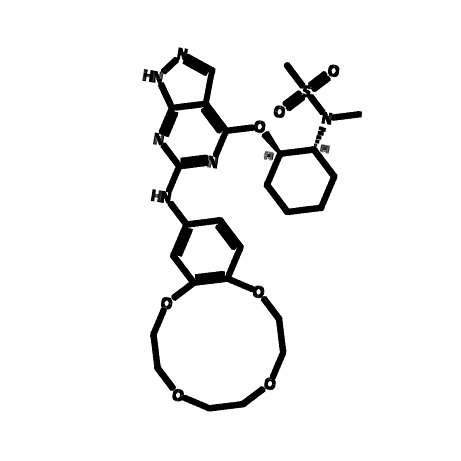 CN([C@@H]1CCCC[C@H]1Oc1nc(Nc2ccc3c(c2)OCCOCCOCCO3)nc2[nH]ncc12)S(C)(=O)=O